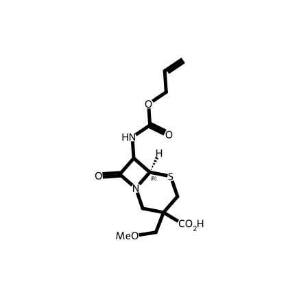 C=CCOC(=O)NC1C(=O)N2CC(COC)(C(=O)O)CS[C@H]12